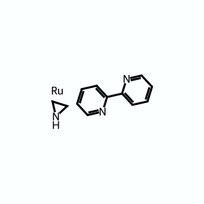 C1CN1.[Ru].c1ccc(-c2ccccn2)nc1